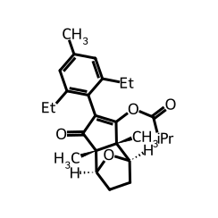 CCc1cc(C)cc(CC)c1C1=C(OC(=O)C(C)C)[C@]2(C)[C@H]3CC[C@H](O3)[C@]2(C)C1=O